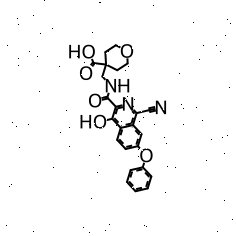 N#Cc1nc(C(=O)NCC2(C(=O)O)CCOCC2)c(O)c2ccc(Oc3ccccc3)cc12